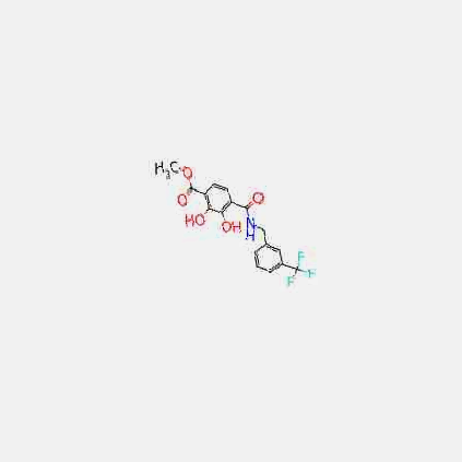 COC(=O)c1ccc(C(=O)NCc2cccc(C(F)(F)F)c2)c(O)c1O